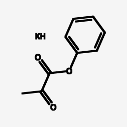 CC(=O)C(=O)Oc1ccccc1.[KH]